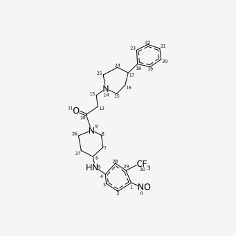 O=Nc1ccc(NC2CCN(C(=O)CCN3CCC(c4ccccc4)CC3)CC2)cc1C(F)(F)F